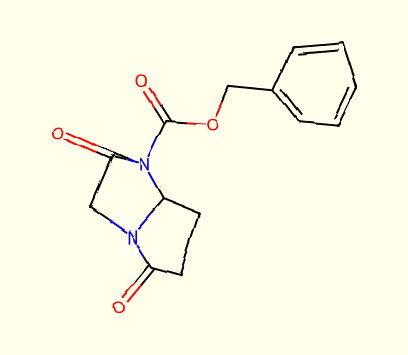 O=C1CCC2N1CC(=O)N2C(=O)OCc1ccccc1